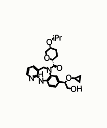 CC(C)O[C@H]1CC[C@H](C(=O)N2Cc3cccnc3Nc3ccc(C(CO)OC4CC4)cc32)OC1